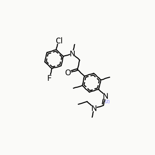 CCN(C)/C=N\c1cc(C)c(C(=O)CN(C)c2cc(F)ccc2Cl)cc1C